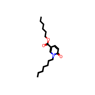 CCCCCCCn1cc(C(=O)OCCCCCC)ccc1=O